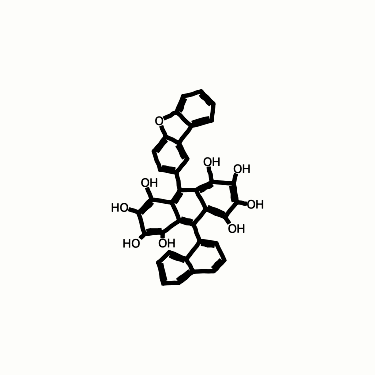 Oc1c(O)c(O)c2c(-c3cccc4ccccc34)c3c(O)c(O)c(O)c(O)c3c(-c3ccc4oc5ccccc5c4c3)c2c1O